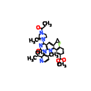 C=CC(=O)N1CCN(c2nc(=O)n(-c3c(C)ccnc3C(C)C)c3nc(-c4cc(C(=O)OC)ccc4F)c(C4CC4)cc23)[C@@H](C)C1